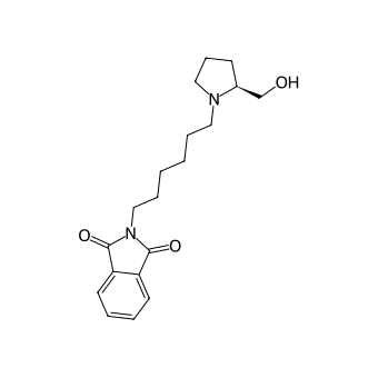 O=C1c2ccccc2C(=O)N1CCCCCCN1CCC[C@H]1CO